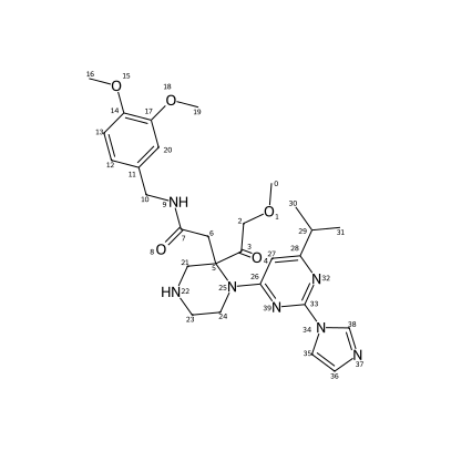 COCC(=O)C1(CC(=O)NCc2ccc(OC)c(OC)c2)CNCCN1c1cc(C(C)C)nc(-n2ccnc2)n1